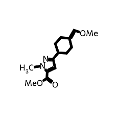 COC=C1CCC(c2cc(C(=O)OC)n(C)n2)CC1